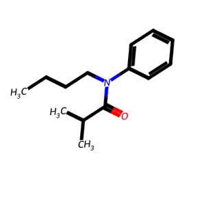 CCCCN(C(=O)C(C)C)c1ccccc1